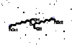 CCCCCCCC/C=C\CCCCCCC(CO)OC(CO)CCCCCC/C=C\CCCCCCCC